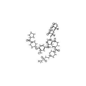 CS(=O)(=O)CCN1CCN(C(=O)C2=Cc3c(ncnc3Nc3ccc(OC4CCN(C(=O)C5CCCC5)CC4)c(Cl)c3)NCC2)CC1.O=C(O)C(F)(F)F.O=C(O)C(F)(F)F